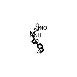 Cn1ccc2ccc(-c3ccc(-c4nnc(SCC(=O)N=O)[nH]4)o3)cc21